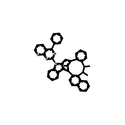 Cc1c2cc3c(c1-c1ccc4ccccc4c1C(C)C(C)c1ccccc1-2)c1ccccc1n3-c1nc(-c2ccccc2)c2cccnc2n1